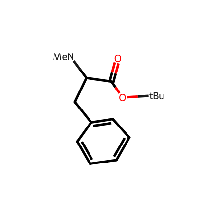 CNC(Cc1ccccc1)C(=O)OC(C)(C)C